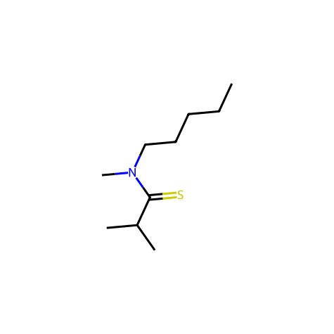 CCCCCN(C)C(=S)C(C)C